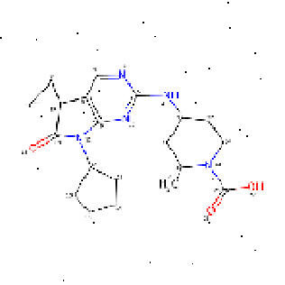 CC1CC(Nc2ncc3c(n2)N(C2CCCC2)C(=O)C32CC2)CCN1C(=O)O